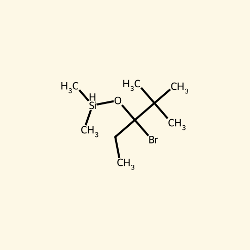 CCC(Br)(O[SiH](C)C)C(C)(C)C